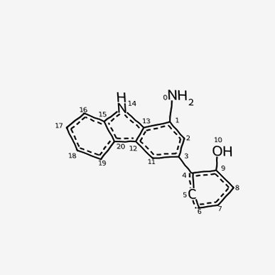 Nc1cc(-c2ccccc2O)cc2c1[nH]c1ccccc12